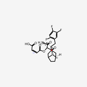 NC(=O)C(OC(=O)/C=C\C(=O)O)C(=O)N1C2CC[C@@H]1CC([C@H](N)Cc1cc(F)c(F)cc1F)C2